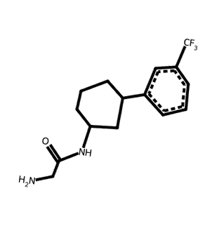 NCC(=O)NC1CCCC(c2cccc(C(F)(F)F)c2)C1